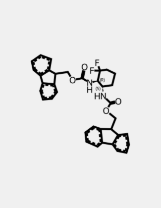 O=C(N[C@H]1CCCC(F)(F)[C@@H]1NC(=O)OCC1c2ccccc2-c2ccccc21)OCC1c2ccccc2-c2ccccc21